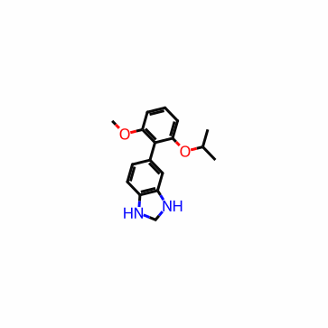 COc1cccc(OC(C)C)c1-c1ccc2c(c1)NCN2